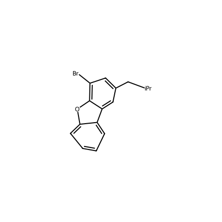 CC(C)Cc1cc(Br)c2oc3ccccc3c2c1